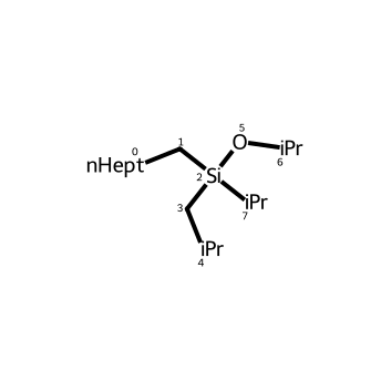 CCCCCCCC[Si](CC(C)C)(OC(C)C)C(C)C